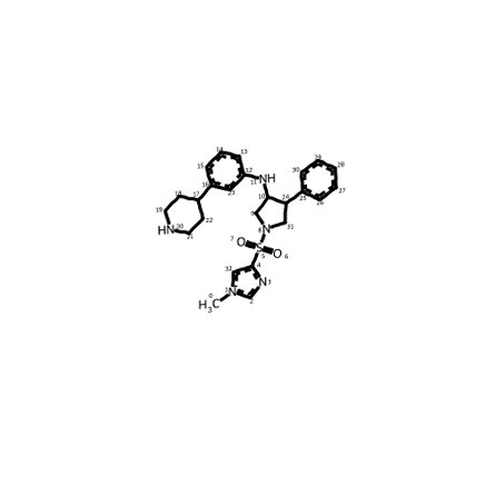 Cn1cnc(S(=O)(=O)N2CC(Nc3cccc(C4CCNCC4)c3)C(c3ccccc3)C2)c1